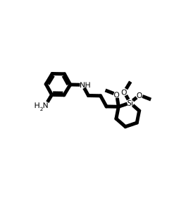 COC1(CCCNc2cccc(N)c2)CCCC[Si]1(OC)OC